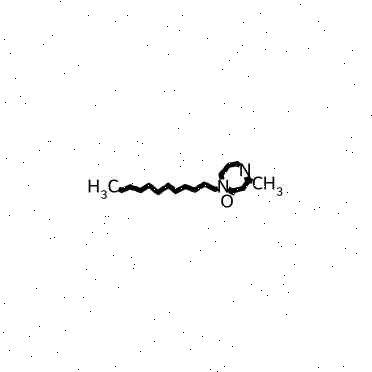 CCCCCCCCCCCCN1CCCN=C(C)CC1=O